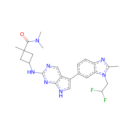 Cc1nc2ccc(-c3c[nH]c4nc(NC5CC(C)(C(=O)N(C)C)C5)ncc34)cc2n1CC(F)F